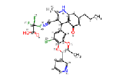 CCCC1CC(=O)C2=C(C1)NC(C)=C(C#N)C2c1cc(Br)c(OCc2cccnc2)c(OCC)c1.O=C(O)C(F)(F)F